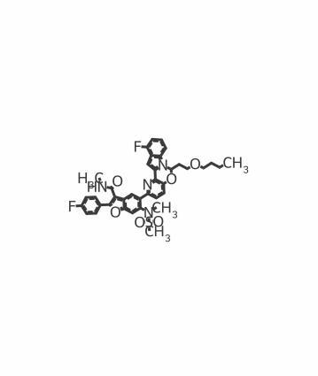 CCCCOCCC1Oc2ccc(-c3cc4c(C(=O)NC)c(-c5ccc(F)cc5)oc4cc3N(C)S(C)(=O)=O)nc2-c2cc3c(F)cccc3n21